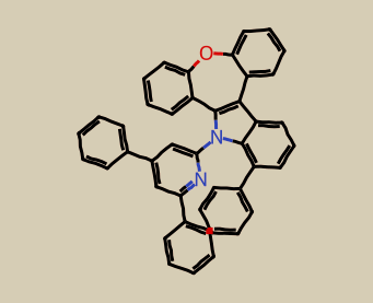 c1ccc(-c2cc(-c3ccccc3)nc(-n3c4c(c5cccc(-c6ccccc6)c53)-c3ccccc3Oc3ccccc3-4)c2)cc1